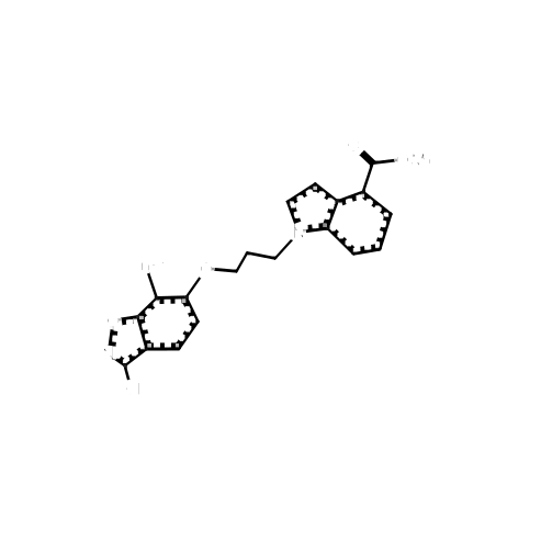 CCCc1c(OCCCn2ccc3c(C(=O)OC)cccc32)ccc2c(C(F)(F)F)noc12